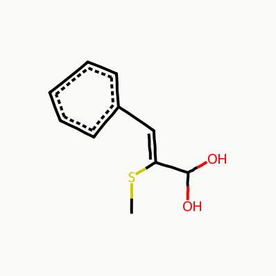 CSC(=Cc1ccccc1)C(O)O